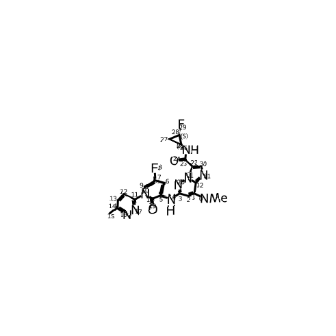 CNc1cc(Nc2cc(F)cn(-c3ccc(C)nn3)c2=O)nn2c(C(=O)N[C@@H]3C[C@@H]3F)cnc12